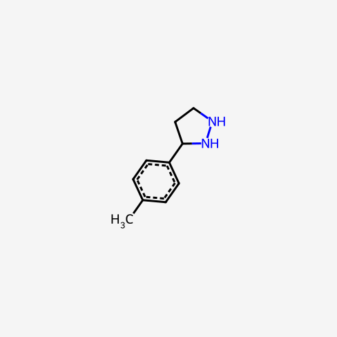 Cc1ccc(C2CCNN2)cc1